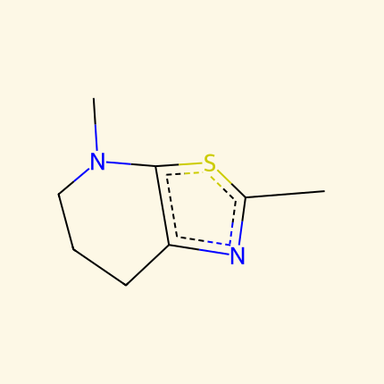 Cc1nc2c(s1)N(C)CCC2